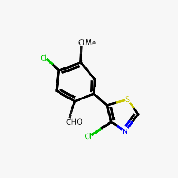 COc1cc(-c2scnc2Cl)c(C=O)cc1Cl